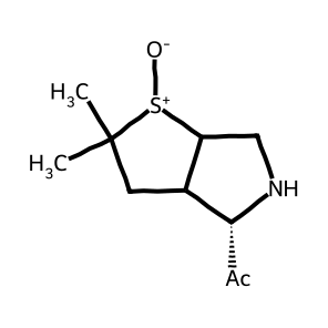 CC(=O)[C@H]1NCC2C1CC(C)(C)[S+]2[O-]